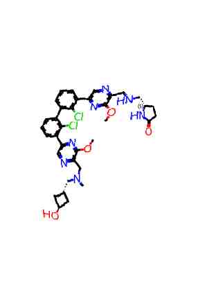 COc1nc(-c2cccc(-c3cccc(-c4cnc(CN(C)C[C@H]5C[C@H](O)C5)c(OC)n4)c3Cl)c2Cl)cnc1CNC[C@@H]1CCC(=O)N1